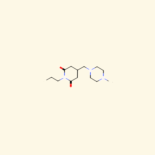 CC(C)(C)CCN1C(=O)CC(CN2CCN(C(C)(C)C)CC2)CC1=O